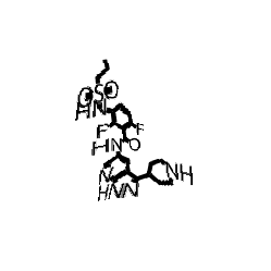 CCCS(=O)(=O)Nc1ccc(F)c(C(=O)Nc2cnc3[nH]nc(C4CCNCC4)c3c2)c1F